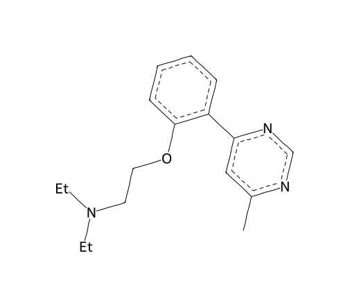 CCN(CC)CCOc1ccccc1-c1cc(C)ncn1